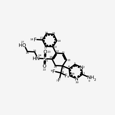 Nc1ncc(C2(C(F)(F)F)C=CC(c3cccc(F)c3)=C(S(=O)(=O)NCCO)C2)cn1